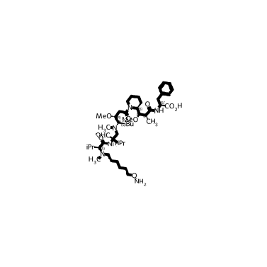 CC[C@H](C)[C@@H]([C@@H](CC(=O)N1CCCC[C@H]1[C@H](OC)[C@@H](C)C(=O)N[C@@H](Cc1ccccc1)C(=O)O)OC)N(C)C[C@@](C=O)(NC(=O)[C@H](C(C)C)N(C)CCCCCCON)C(C)C